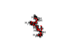 CCCC(=O)NC[C@H]1[C@@H](O)[C@H](n2c[n+](C)c3c(=O)[nH]c(N)nc32)O[C@@H]1COP(=O)(O)OP(=O)(O)OP(=O)(O)OC[C@H]1O[C@@H](n2cnc3c(N)ncnc32)[C@H](OC)[C@@H]1OP(=O)([O-])OC[C@H]1O[C@@H](n2ccc(=O)[nH]c2=O)[C@H](O)[C@@H]1O